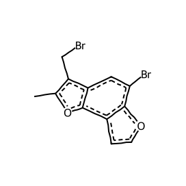 Cc1oc2c(cc(Br)c3occc32)c1CBr